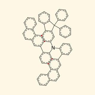 c1ccc(C2(c3ccccc3)c3ccccc3-c3ccc(N(c4ccccc4-c4ccc5c(ccc6ccccc65)c4)c4ccccc4-c4ccc5c(ccc6ccccc65)c4)cc32)cc1